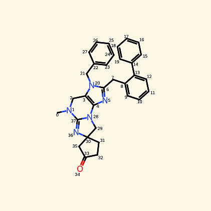 CN1Cc2c(nc(Cc3ccccc3-c3ccccc3)n2Cc2ccccc2)N2CC3(CCC(=O)C3)N=C12